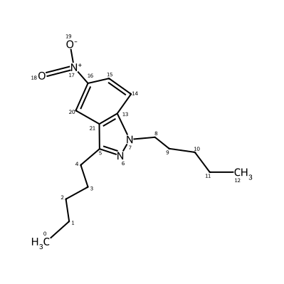 CCCCCc1nn(CCCCC)c2ccc([N+](=O)[O-])cc12